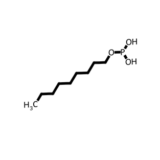 CCCCCCCCCOP(O)O